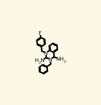 NC1c2ccccc2N(Cc2ccc(F)cc2)C(N)N1Cc1ccccc1